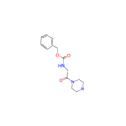 O=C(NCC(=O)N1CC[N]CC1)OCc1ccccc1